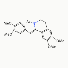 COc1ccc(/C=C2/c3cc(OC)c(OC)cc3CCN2C(C)=O)cc1OC